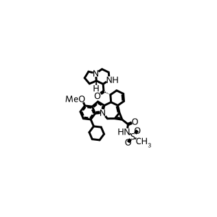 COc1ccc(C2CCCCC2)c2c1cc1n2CC2=C(C(=O)NS(C)(=O)=O)C2=C2C=CC[C@@H](C(=O)C3NCCN4CCC[C@@H]34)C21